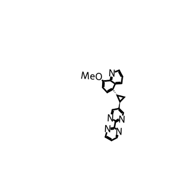 COc1ccc([C@@H]2C[C@H]2c2cnc(-c3ncccn3)nc2)c2cccnc12